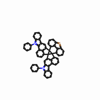 c1ccc(-n2c3ccccc3c3c4cccc5c4c(cc32)C23c4cccc6c4c(cc4c7ccccc7n(-c7ccccc7)c64)C24c2cccc6sc7cccc(c7c26)C534)cc1